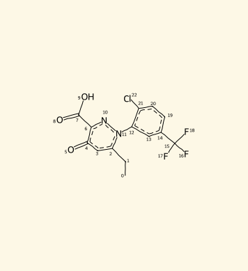 CCc1cc(=O)c(C(=O)O)nn1-c1cc(C(F)(F)F)ccc1Cl